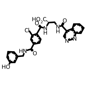 O=C(NCc1cccc(O)c1)c1ccc(C(=O)N[C@@H](CNC(=O)c2cnnc3ccccc23)C(=O)O)c(Cl)c1